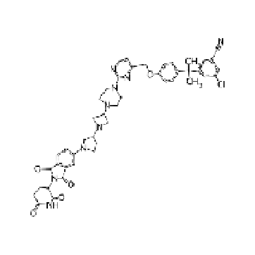 CC(C)(c1ccc(OCc2ccnc(N3CCN(C4CN(C5CCN(c6ccc7c(c6)C(=O)N(C6CCC(=O)NC6=O)C7=O)C5)C4)CC3)n2)cc1)c1cc(Cl)cc(C#N)c1